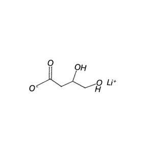 O=C([O-])CC(O)CO.[Li+]